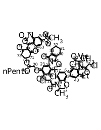 CC1COc2ccccc2N1C(=O)C(Cl)Cl.CCCCCOC(=O)COc1cc(N2C(=O)C3=C(CCCC3)C2=O)c(F)cc1Cl.CCc1cccc(C)c1N(C(=O)CCl)C(C)COC.CS(=O)(=O)c1ccc(C(=O)C2C(=O)CCCC2=O)c([N+](=O)[O-])c1